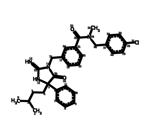 CC(C)CCC1(c2ccccc2)NC(=N)N(Cc2cccc(C(=O)N(C)Cc3ccc(Cl)cc3)c2)C1=O